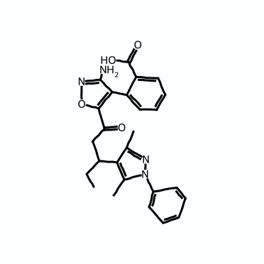 CCC(CC(=O)c1onc(N)c1-c1ccccc1C(=O)O)c1c(C)nn(-c2ccccc2)c1C